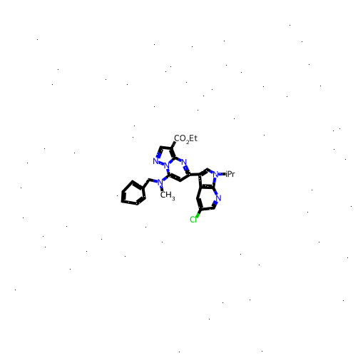 CCOC(=O)c1cnn2c(N(C)Cc3ccccc3)cc(-c3cn(C(C)C)c4ncc(Cl)cc34)nc12